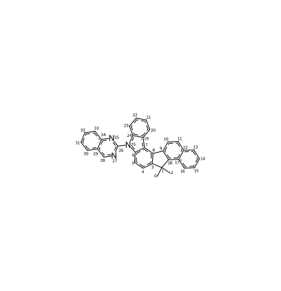 CC1(C)c2ccc3c(c2-c2ccc4ccccc4c21)c1ccccc1n3-c1ncc2ccccc2n1